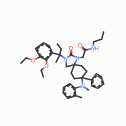 CCCNC(=O)CN1C(=O)N(C(C)(CC)c2cccc(OCC)c2OCC)CC12CCC(c1ccccc1)(N(C)c1ccccc1C)CC2